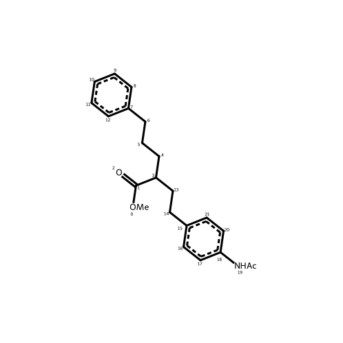 COC(=O)C(CCCc1ccccc1)CCc1ccc(NC(C)=O)cc1